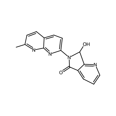 Cc1ccc2ccc(N3C(=O)c4cccnc4C3O)nc2n1